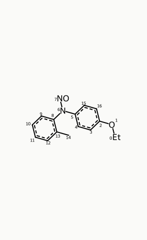 CCOc1ccc(N(N=O)c2ccccc2C)cc1